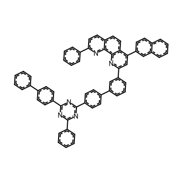 c1ccc(-c2ccc(-c3nc(-c4ccccc4)nc(-c4ccc(-c5cccc(-c6cc(-c7ccc8ccccc8c7)c7ccc8ccc(-c9ccccc9)nc8c7n6)c5)cc4)n3)cc2)cc1